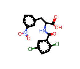 O=C(NC(Cc1cccc([N+](=O)[O-])c1)C(=O)O)c1cc(Cl)ccc1Cl